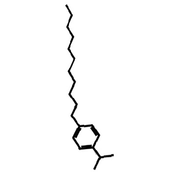 CCCCCCCCCCCc1ccc(C(C)C)cc1